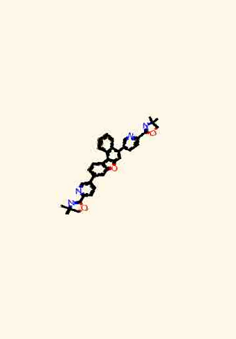 CC1(C)COC(c2ccc(-c3ccc4c(c3)oc3cc(-c5ccc(C6=NC(C)(C)CO6)nc5)c5ccccc5c34)cn2)=N1